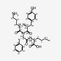 CSCC[C@H](NC(=O)[C@H](Cc1ccccc1)N(C(=O)CCCCN)C(=O)[C@@H](N)Cc1ccc(O)cc1)C(=O)O